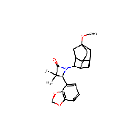 CC1(C)C(=O)N(C2C3CC4CC2CC(OC=O)(C4)C3)C1c1cccc2c1OCO2